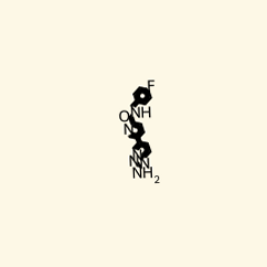 Nc1nc2ccc(-c3ccc(C(=O)NCc4ccc(F)cc4)nc3)cn2n1